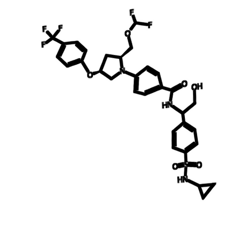 O=C(NC(CO)c1ccc(S(=O)(=O)NC2CC2)cc1)c1ccc(N2C[C@@H](Oc3ccc(C(F)(F)F)cc3)C[C@H]2COC(F)F)cc1